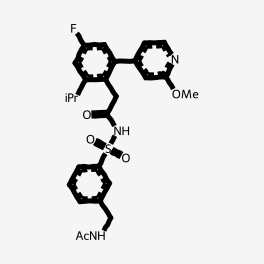 COc1cc(-c2cc(F)cc(C(C)C)c2CC(=O)NS(=O)(=O)c2cccc(CNC(C)=O)c2)ccn1